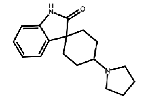 O=C1Nc2ccccc2C12CCC(N1CCCC1)CC2